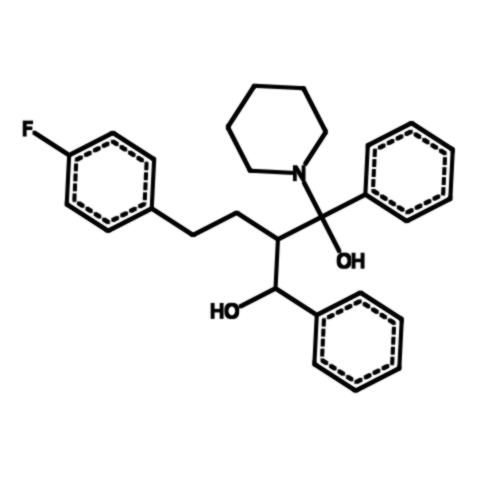 OC(c1ccccc1)C(CCc1ccc(F)cc1)C(O)(c1ccccc1)N1CCCCC1